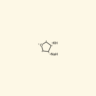 C1CCOC1.[KH].[NaH]